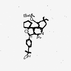 CC(C)c1nc2c(c3c1[C@@H](c1ccc(C(C)(C)O)cc1)OC31CCCC1)C(O[Si](C)(C)C(C)(C)C)CC(C)(C)C2